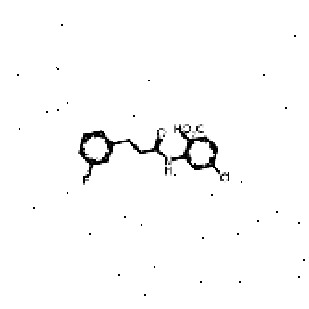 O=C(CCc1cccc(F)c1)Nc1cc(Cl)ccc1C(=O)O